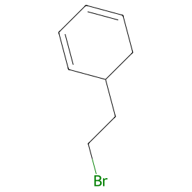 BrCCC1C=CC=CC1